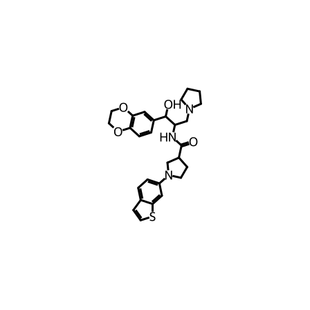 O=C(NC(CN1CCCC1)C(O)c1ccc2c(c1)OCCO2)C1CCN(c2ccc3ccsc3c2)C1